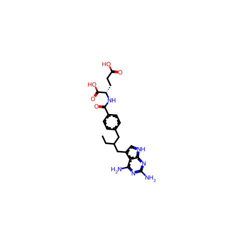 CCC(Cc1ccc(C(=O)N[C@@H](CCC(=O)O)C(=O)O)cc1)Cc1c[nH]c2nc(N)nc(N)c12